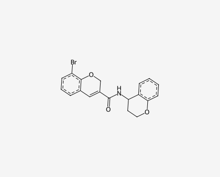 O=C(NC1CCOc2ccccc21)C1=Cc2cccc(Br)c2OC1